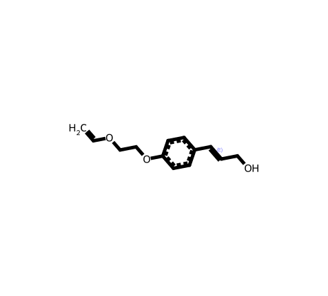 C=COCCOc1ccc(/C=C/CO)cc1